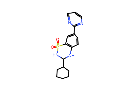 O=S1(=O)NC(C2CCCCC2)Nc2ccc(-c3ncccn3)cc21